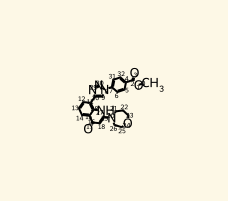 COC(=O)c1ccc(-n2cc(-c3cccc4c(=O)cc(N5CCCOCC5)[nH]c34)nn2)cc1